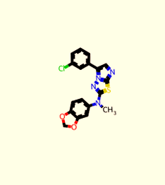 CN(c1ccc2c(c1)OCO2)c1nn2c(-c3cccc(Cl)c3)cnc2s1